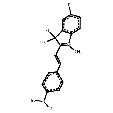 CCN(CC)c1ccc(/C=C/C2=[N+](C)c3ccc(F)cc3C2(C)CC)cc1